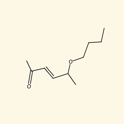 CCCCOC(C)/C=C/C(C)=O